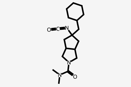 CN(C)C(=O)N1CC2CC(CC3CCCCC3)(N=C=O)CC2C1